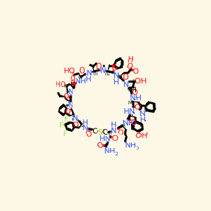 CCCC[C@H]1C(=O)N2C[C@H](O)C[C@@H]2C(=O)N[C@@H](CC(=O)O)C(=O)N[C@@H](C(C)C)C(=O)N(C)[C@@H](Cc2ccccc2)C(=O)N[C@@H](CCC(=O)O)C(=O)N2C[C@H](O)C[C@H]2C(=O)N[C@@H](Cc2c[nH]c3ccccc23)C(=O)N[C@@H](Cc2ccc(O)cc2)C(=O)N[C@@H](CCCCN)C(=O)N[C@H](C(=O)NCC(N)=O)CSCC(=O)N[C@@H](Cc2cc(F)c(F)c(F)c2)C(=O)N(C)[C@@H](Cc2ccccc2)C(=O)N1C